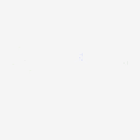 FC(F)(F)c1cccc(C(NCCCCl)c2ccccc2)c1